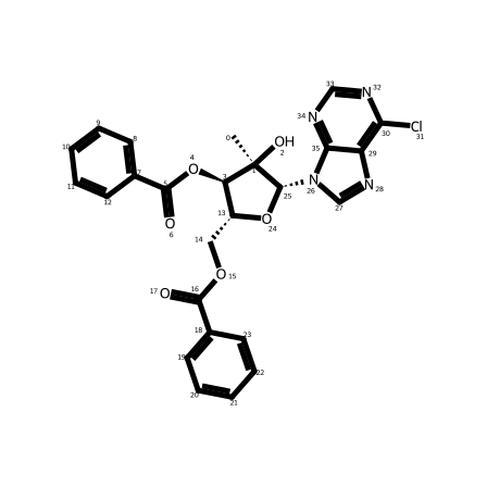 C[C@@]1(O)[C@H](OC(=O)c2ccccc2)[C@@H](COC(=O)c2ccccc2)O[C@H]1n1cnc2c(Cl)ncnc21